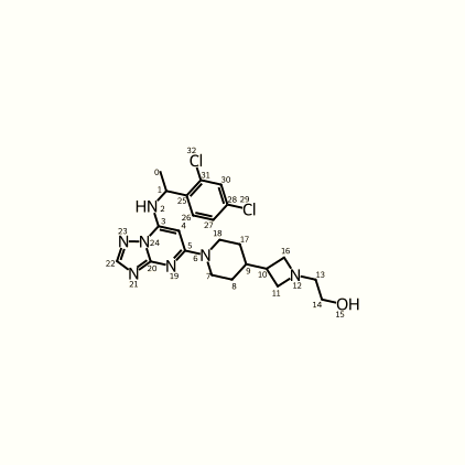 CC(Nc1cc(N2CCC(C3CN(CCO)C3)CC2)nc2ncnn12)c1ccc(Cl)cc1Cl